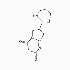 O=C1CC(=O)N2CC(C3CCCCN3)SC2=N1